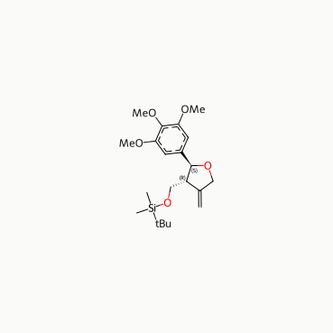 C=C1CO[C@H](c2cc(OC)c(OC)c(OC)c2)[C@H]1CO[Si](C)(C)C(C)(C)C